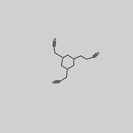 N#CCCN1CN(CC#N)CN(CC#N)C1